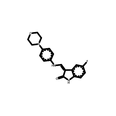 O=C1Nc2ccc(F)cc2C1=CNc1ccc(N2CCOCC2)cc1